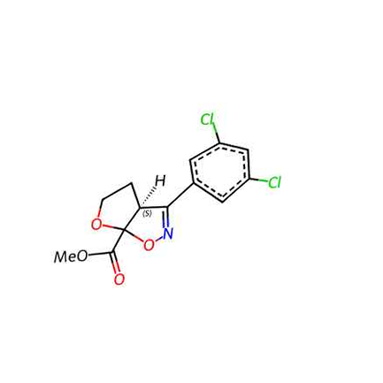 COC(=O)C12OCC[C@H]1C(c1cc(Cl)cc(Cl)c1)=NO2